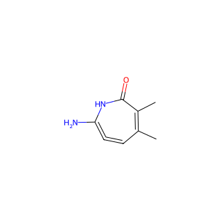 CC1=C(C)C(=O)NC(N)=C=C1